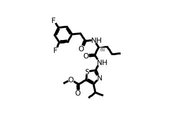 CCC[C@H](NC(=O)Cc1cc(F)cc(F)c1)C(=O)Nc1nc(C(C)C)c(C(=O)OC)s1